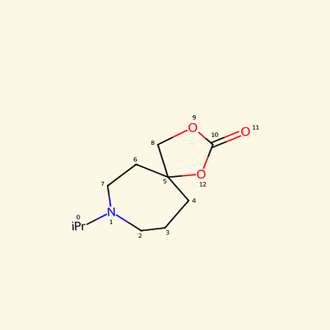 CC(C)N1CCCC2(CC1)COC(=O)O2